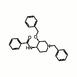 O=C(N[C@@H]1CCN(Cc2ccccc2)C[C@@H]1OCc1ccccc1)c1ccccc1